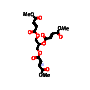 COC(=O)C=CC(=O)OCC(COC(=O)/C=C/C(=O)OC)OC(=O)C=CC(=O)OC